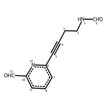 O=CNCCC#Cc1cccc(C=O)n1